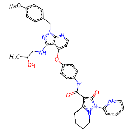 COc1ccc(Cn2nc(NCC(C)O)c3c(Oc4ccc(NC(=O)c5c6n(n(-c7ccccn7)c5=O)CCCC6)cc4)ccnc32)cc1